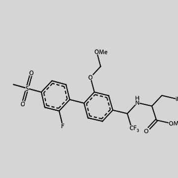 COCOc1cc(C(NC(CC(C)C)C(=O)OC)C(F)(F)F)ccc1-c1ccc(S(C)(=O)=O)cc1F